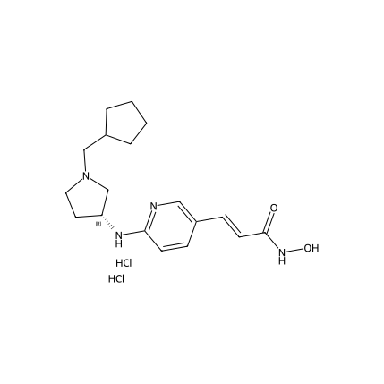 Cl.Cl.O=C(C=Cc1ccc(N[C@@H]2CCN(CC3CCCC3)C2)nc1)NO